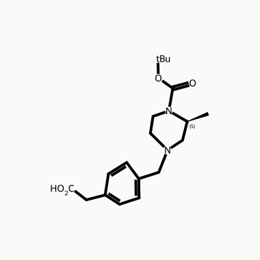 C[C@H]1CN(Cc2ccc(CC(=O)O)cc2)CCN1C(=O)OC(C)(C)C